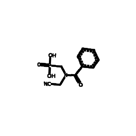 N#CCN(CP(=O)(O)O)C(=O)c1ccccc1